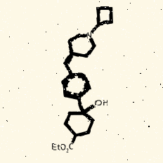 CCOC(=O)C1CCC(O)(c2ccc(C=C3CCN(C4CCC4)CC3)cc2)CC1